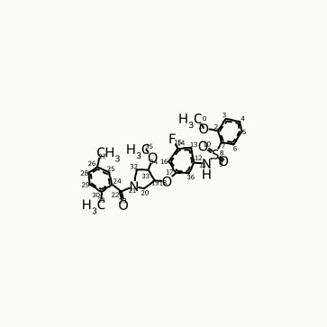 COc1ccccc1S(=O)(=O)Nc1cc(F)cc(OC2CN(C(=O)c3cc(C)ccc3C)CC2OC)c1